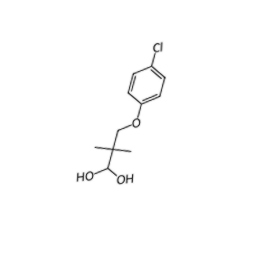 CC(C)(COc1ccc(Cl)cc1)C(O)O